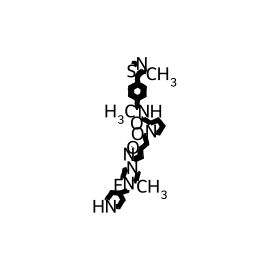 Cc1ncsc1-c1ccc(C(C)NC(=O)C2CCCN2C(=O)Cc2cc(N3CCN(CC4(F)CCNCC4)C(C)C3)no2)cc1